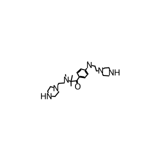 CN(CCN1CCNCC1)c1ccc(C(=O)C(C)(C)N(C)CCN2CCNCC2)cc1